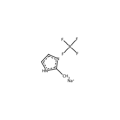 Cc1ncc[nH]1.F[B-](F)(F)F.[Na+]